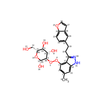 Cc1cc(OO[C@@H]2[C@@H](O)[C@H](O)[C@@H](CO)O[C@H]2O)c2c(CCc3ccc4occc4c3)n[nH]c2c1